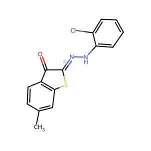 Cc1ccc2c(c1)S/C(=N\Nc1ccccc1Cl)C2=O